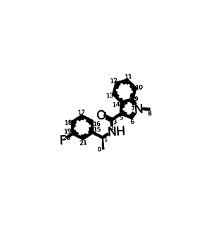 C[C@H](NC(=O)c1cn(C)c2ccccc12)c1cccc(F)c1